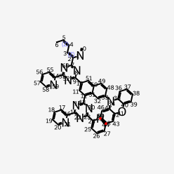 C=N/C(=C\C=C/C)c1nc(-c2cc(-c3nc(-c4ccccn4)nc(-c4ccccn4)n3)c3cc(N4c5ccccc5Oc5ccccc54)ccc3c2)nc(-c2ccccn2)n1